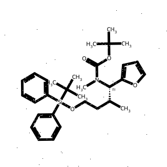 CC(CCO[Si](c1ccccc1)(c1ccccc1)C(C)(C)C)[C@@H](c1ccco1)N(C)C(=O)OC(C)(C)C